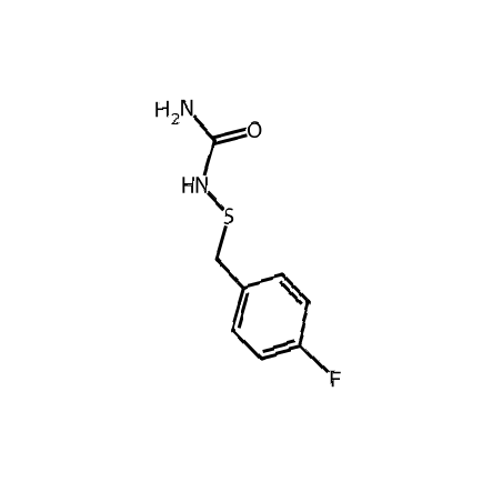 NC(=O)NSCc1ccc(F)cc1